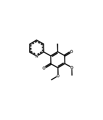 COC1=C(OC)C(=O)C(c2ccccn2)=C(C)C1=O